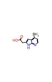 Bc1ccnc2[nH]c(CC(=O)O)cc12